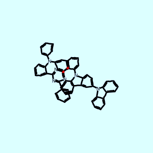 c1ccc2c(c#1)c1cc(-n3c4ccccc4c4ccccc43)ccc1n2-c1ccccc1-c1nc(-c2ccccc2)nc(-c2ccccc2N(c2ccccc2)c2ccccc2)n1